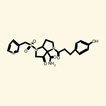 NC(=O)C12C(=O)CN(S(=O)(=O)Cc3cccnc3)C1CCN2C(=O)[CH]Cc1ccc(O)cc1